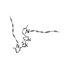 CC#CC#CC#CC#CC#Cn1c(C)ccc1-c1cnc(-c2ncc(-c3ccc(C)n3C#CC#CC#CC#CC#CC)s2)s1